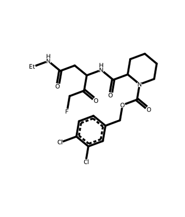 CCNC(=O)CC(NC(=O)C1CCCCN1C(=O)OCc1ccc(Cl)c(Cl)c1)C(=O)CF